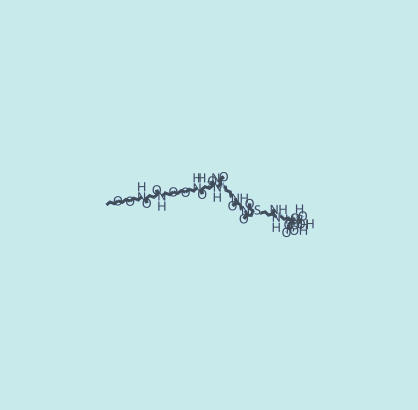 CCCOCCOCCNC(=O)CCC(=O)NCCOCCOCCNC(=O)CCC(=O)N[C@@H](CCCCNC(=O)CCN1C(=O)CC(SCCCC(=N)NCCCC(O)(O[PH](=O)O)O[PH](=O)O)C1=O)C(N)=O